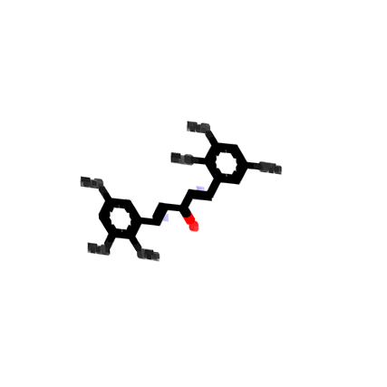 COc1cc(/C=C/C(=O)/C=C/c2cc(OC)cc(OC)c2OC)c(OC)c(OC)c1